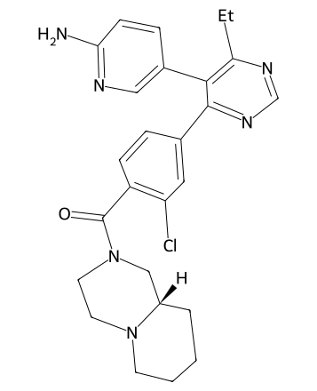 CCc1ncnc(-c2ccc(C(=O)N3CCN4CCCC[C@H]4C3)c(Cl)c2)c1-c1ccc(N)nc1